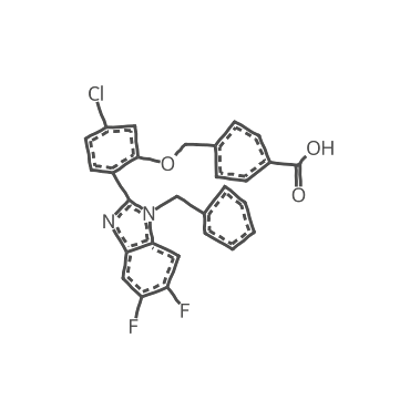 O=C(O)c1ccc(COc2cc(Cl)ccc2-c2nc3cc(F)c(F)cc3n2Cc2ccccc2)cc1